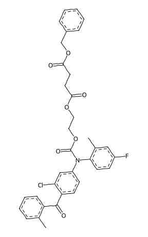 Cc1ccccc1C(=O)c1ccc(N(C(=O)OCCOC(=O)CCC(=O)OCc2ccccc2)c2ccc(F)cc2C)cc1Cl